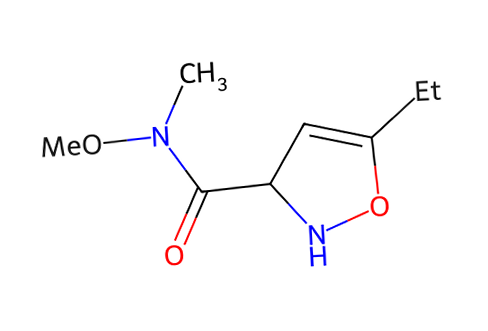 CCC1=CC(C(=O)N(C)OC)NO1